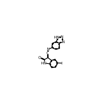 O=C1Nc2ccc(I)cc2C1=C=Nc1ccc2nn[nH]c2c1